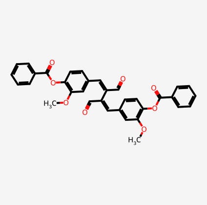 COc1cc(/C=C(C=O)\C(C=O)=C/c2ccc(OC(=O)c3ccccc3)c(OC)c2)ccc1OC(=O)c1ccccc1